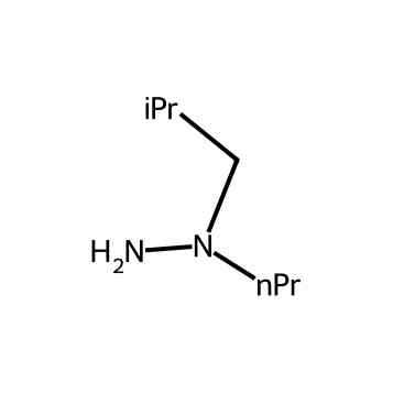 CCCN(N)CC(C)C